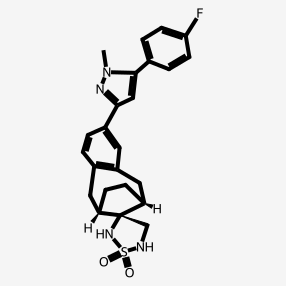 Cn1nc(-c2ccc3c(c2)C[C@H]2CC[C@@H](C3)[C@]23CNS(=O)(=O)N3)cc1-c1ccc(F)cc1